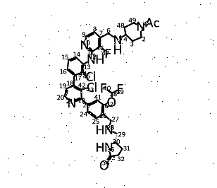 CC(=O)N1CCC(NCc2ccnc(Nc3cccc(-c4ccnc(-c5ccc(CNC[C@@H]6CCC(=O)N6)c(OC(F)F)c5)c4Cl)c3Cl)c2F)CC1